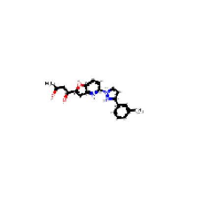 CC(=O)CC(=O)c1cc2nc(-n3ccc(-c4cccc(C)c4)n3)ccc2o1